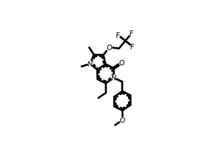 CCc1cc2c(c(OCC(F)(F)F)c(C)n2C)c(=O)n1Cc1ccc(OC)cc1